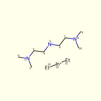 CN(C)CC[N-]CCN(C)C.C[CH2][In+][CH2]C